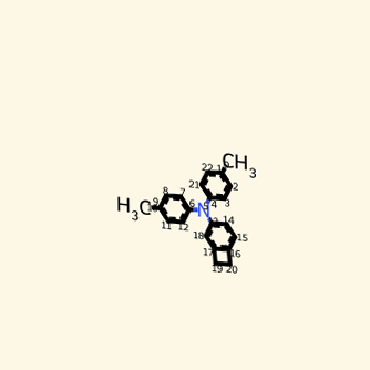 Cc1ccc(N(c2ccc(C)cc2)c2ccc3c(c2)CC3)cc1